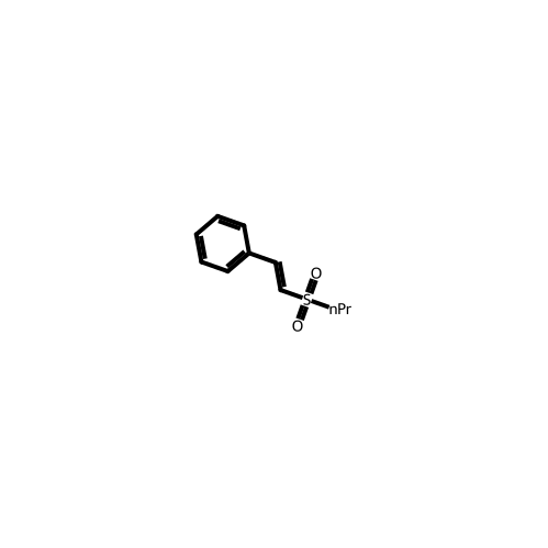 CCCS(=O)(=O)C=Cc1ccccc1